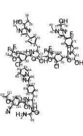 CCn1cc(-c2ccc(CC(CCO)NC(=O)c3ccc(OC(C)C(F)(F)F)c(Cl)c3)cc2)nc1C(O)C(C)C.CCn1cc(-c2ccc(CC(CCO)NC(=O)c3ccc(OC(C)C(F)(F)F)c(Cl)c3)cc2F)nc1C(C)(C)O.Cc1cccn2cc(-c3ccc(CC(CNC(=O)C(C)N)NC(=O)c4ccc(OC(C)C)c(C#N)c4)cc3)nc12